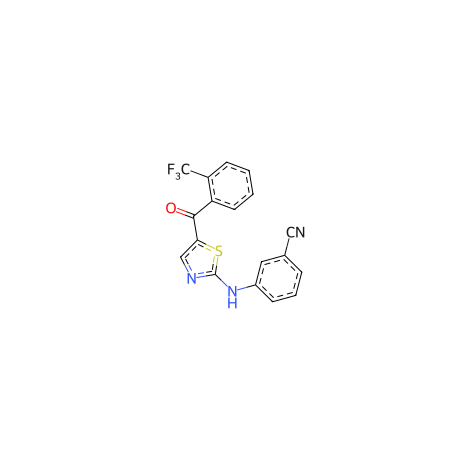 N#Cc1cccc(Nc2ncc(C(=O)c3ccccc3C(F)(F)F)s2)c1